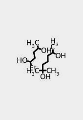 CC(O)CCCC(C)(C)O.CCC(O)CCC(C)O